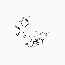 Cc1cc(C)c(S(=O)(=O)N2CCC[C@@H]2COCC(=O)N(C)C2CCN(C)CC2)c(C)c1